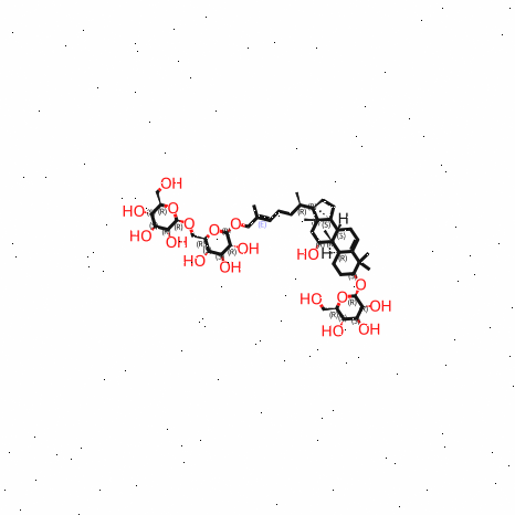 C/C(=C\CC[C@@H](C)[C@H]1CC[C@@]2(C)[C@@H]3CC=C4[C@@H](CC[C@H](O[C@@H]5O[C@H](CO)[C@@H](O)[C@H](O)[C@H]5O)C4(C)C)[C@]3(C)[C@H](O)C[C@]12C)CO[C@@H]1O[C@H](CO[C@@H]2O[C@H](CO)[C@@H](O)[C@H](O)[C@H]2O)[C@@H](O)[C@H](O)[C@H]1O